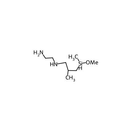 CO[SiH](C)CC(C)CNCCN